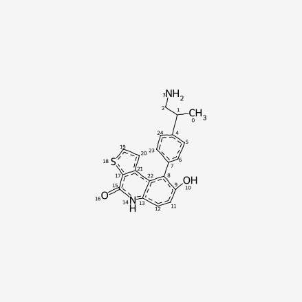 CC(CN)c1ccc(-c2c(O)ccc3[nH]c(=O)c4sccc4c23)cc1